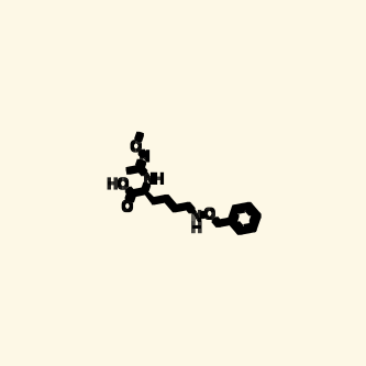 CO/N=C(\C)N[C@@H](CCCCNOCc1ccccc1)C(=O)O